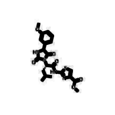 COC(=O)c1csc(NC(=O)[C@H](CC(C)C)N2C(=O)NC(c3cccc(OC)c3)C2=O)n1